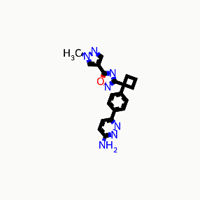 Cn1cc(-c2nc(C3(c4ccc(-c5ccc(N)nn5)cc4)CCC3)no2)cn1